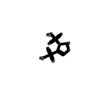 NS(=O)(=O)C1=CSNN1S(N)(=O)=O